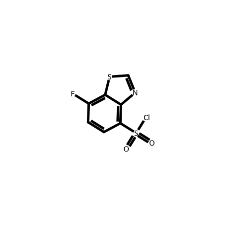 O=S(=O)(Cl)c1ccc(F)c2scnc12